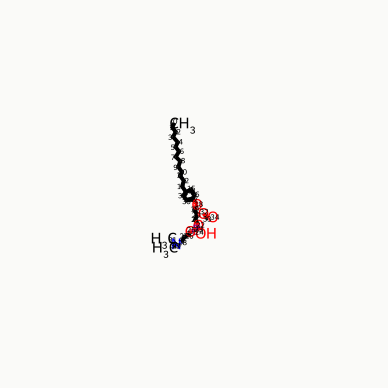 CCCCCCCCCCCCCCc1ccc(OCC(COP(O)OCCCN(C)C)OC=O)cc1